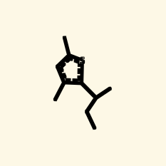 CCC(C)c1sc(C)cc1C